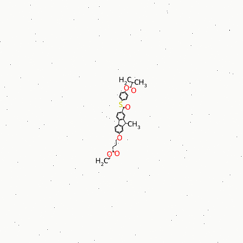 C=COC(=O)CCCOc1ccc2c(c1)C(C)c1cc(C(=O)Sc3ccc(OC(=O)C(=C)C)cc3)ccc1-2